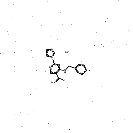 C=C(Cl)c1cnc(-n2ccnc2)nc1NCc1ccccc1.Cl